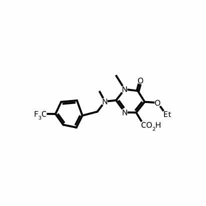 CCOc1c(C(=O)O)nc(N(C)Cc2ccc(C(F)(F)F)cc2)n(C)c1=O